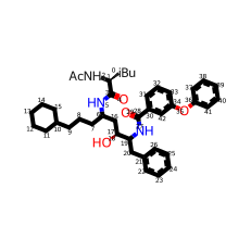 CCC(C)[C@H](NC(C)=O)C(=O)NC(CCCC1CCCCC1)C[C@H](O)C(Cc1ccccc1)NC(=O)c1cccc(Oc2ccccc2)c1